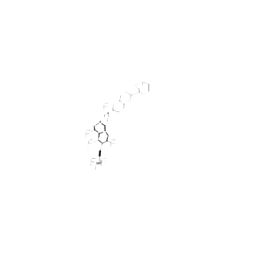 Fc1cc2cc(OC(F)(F)C3CCC4CC(C5CCCCO5)CCC4C3)cc(F)c2c(F)c1C#CC(F)(F)F